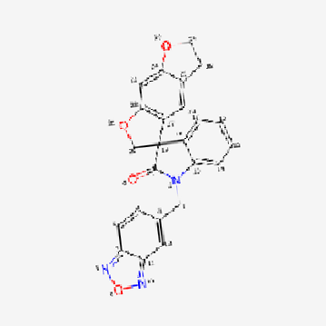 O=C1N(Cc2ccc3nonc3c2)c2ccccc2C12COc1cc3c(cc12)CCO3